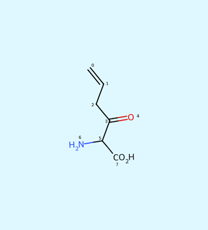 C=CCC(=O)C(N)C(=O)O